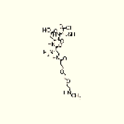 CNCCOCCOCCC(=O)NC[C@H](N)C(=O)N[C@@H](CC(=O)O)C(=O)N[C@@H](CS)C(=O)O